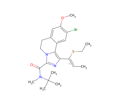 C/C=C(\SCC)c1nc(C(=O)N(C)C(C)(C)C)n2c1-c1cc(Br)c(OC)cc1CC2